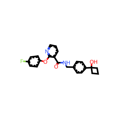 O=C(NCc1ccc(C2(O)CCC2)cc1)c1cccnc1Oc1ccc(F)cc1